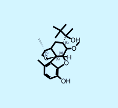 COC1[C@@H](C(C)(O)C(C)(C)C)CC2[C@@H](C)CCC[C@@]23c2c(C)ccc(O)c2O[C@@H]13